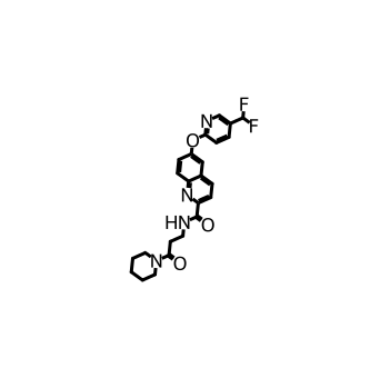 O=C(NCCC(=O)N1CCCCC1)c1ccc2cc(Oc3ccc(C(F)F)cn3)ccc2n1